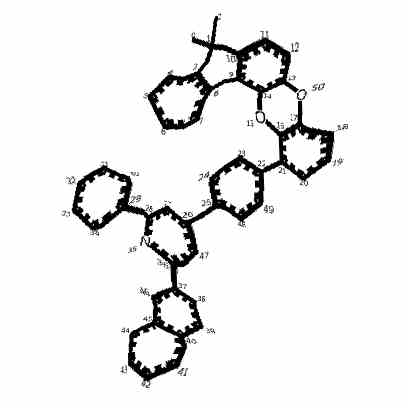 CC1(C)c2ccccc2-c2c1ccc1c2Oc2c(cccc2-c2ccc(-c3cc(-c4ccccc4)nc(-c4ccc5ccccc5c4)c3)cc2)O1